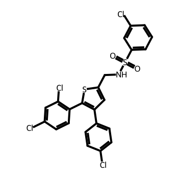 O=S(=O)(NCc1cc(-c2ccc(Cl)cc2)c(-c2ccc(Cl)cc2Cl)s1)c1cccc(Cl)c1